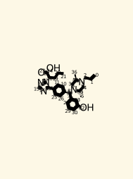 C=CCN1C[C@H](C)N([C@H](c2ccc(-c3ncnn3C(CCC)C(=O)O)cc2)c2cccc(O)c2)C[C@H]1C